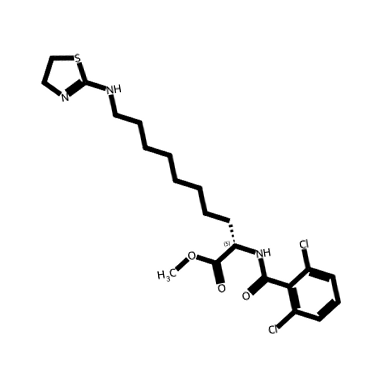 COC(=O)[C@H](CCCCCCCCNC1=NCCS1)NC(=O)c1c(Cl)cccc1Cl